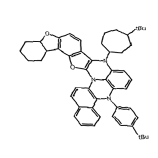 CC(C)(C)c1ccc(N2c3cccc4c3N(c3ccc5ccccc5c32)c2oc3c5c(ccc3c2N4C2CCCC(C(C)(C)C)CC2)OC2CCCCC52)cc1